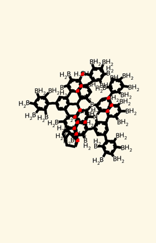 Bc1c(B)c(B)c(-c2ccc3c(c2)B2c4cc(-c5c(B)c(B)c(B)c(B)c5B)ccc4N(c4c(-c5c(B)c(B)c(B)c(B)c5B)cc(-c5c(B)c(B)c(B)c(B)c5B)cc4-c4c(B)c(B)c(B)c(B)c4B)c4cc(N5C6CC7CC(C6)CC5C7)cc(c42)C3c2c(-c3c(B)c(B)c(B)c(B)c3B)cc(-c3c(B)c(B)c(B)c(B)c3B)cc2-c2c(B)c(B)c(B)c(B)c2B)c(B)c1B